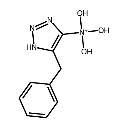 O[N+](O)(O)c1nn[nH]c1Cc1ccccc1